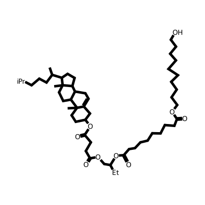 CCC(COC(=O)CCC(=O)OC1CCC2(C)C(=CCC3C2CCC2(C)C(C(C)CCCC(C)C)CCC32)C1)OC(=O)CCCCCCCCC(=O)OCCCCCCCCCCO